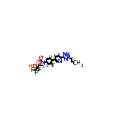 CCCn1nnc(-c2ccc(-c3ccc(N4CC(C(O)(F)C(F)F)OC4=O)cc3F)cn2)n1